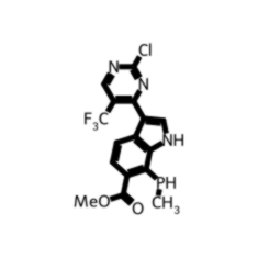 COC(=O)c1ccc2c(-c3nc(Cl)ncc3C(F)(F)F)c[nH]c2c1PC